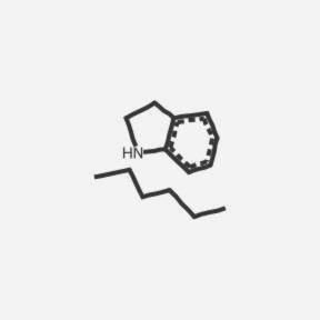 CCCCCC.c1ccc2c(c1)CCN2